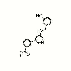 COC(=O)c1cccc(-c2cncc(NCc3cccc(O)c3)c2)c1